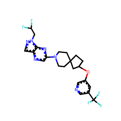 FC(F)Cn1ncc2ncc(N3CCC4(CCC(Oc5cncc(C(F)(F)F)c5)C4)CC3)nc21